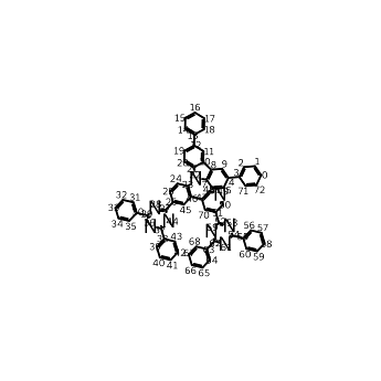 c1ccc(-c2ccc3c(c2)c2cc(-c4ccccc4)ccc2n3-c2ccc(-c3nc(-c4ccccc4)nc(-c4ccccc4)n3)cc2-c2cncc(-c3nc(-c4ccccc4)nc(-c4ccccc4)n3)c2)cc1